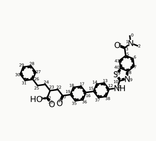 CN(C)C(=O)c1ccc2nc(Nc3ccc(-c4ccc(C(=O)CC(CCc5ccccc5)C(=O)O)cc4)cc3)sc2c1